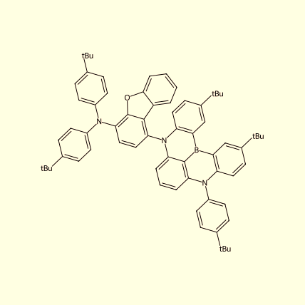 CC(C)(C)c1ccc(N2c3ccc(C(C)(C)C)cc3B3c4cc(C(C)(C)C)ccc4N(c4ccc(N(c5ccc(C(C)(C)C)cc5)c5ccc(C(C)(C)C)cc5)c5oc6ccccc6c45)c4cccc2c43)cc1